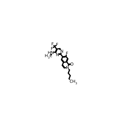 CCCCCn1ccc2cc(-c3ncc(C(F)(F)F)c(NC)n3)c(F)cc2c1=O